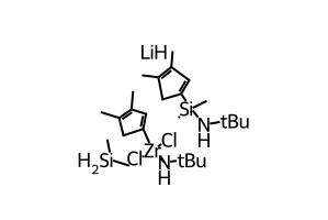 CC1=C(C)CC([Si](C)(C)NC(C)(C)C)=C1.CC1=C(C)C[C]([Zr]([Cl])([Cl])[NH]C(C)(C)C)=C1.C[SiH2]C.[LiH]